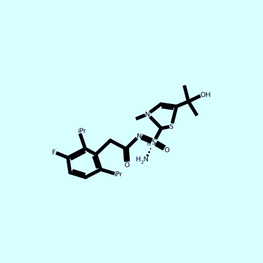 CC(C)c1ccc(F)c(C(C)C)c1CC(=O)N=[S@](N)(=O)C1SC(C(C)(C)O)=CN1C